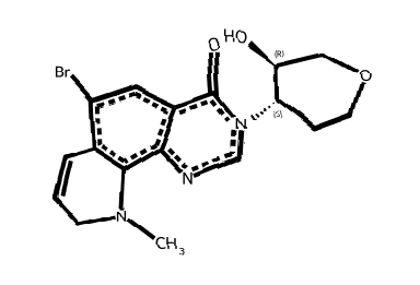 CN1CC=Cc2c(Br)cc3c(=O)n([C@H]4CCOC[C@@H]4O)cnc3c21